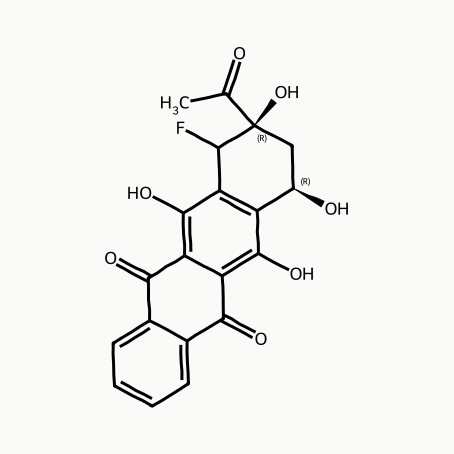 CC(=O)[C@]1(O)C[C@@H](O)c2c(O)c3c(c(O)c2C1F)C(=O)c1ccccc1C3=O